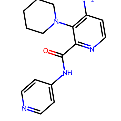 Nc1ccnc(C(=O)Nc2ccncc2)c1N1CCCCC1